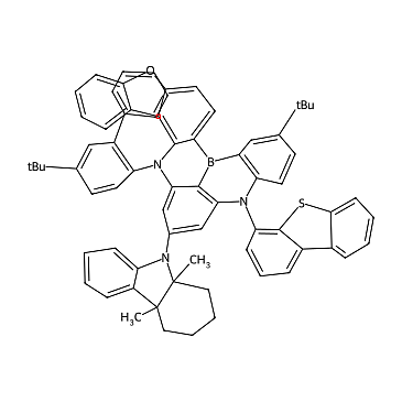 CC(C)(C)c1ccc2c(c1)B1c3ccc4oc5ccccc5c4c3N(c3ccc(C(C)(C)C)cc3-c3ccccc3)c3cc(N4c5ccccc5C5(C)CCCCC45C)cc(c31)N2c1cccc2c1sc1ccccc12